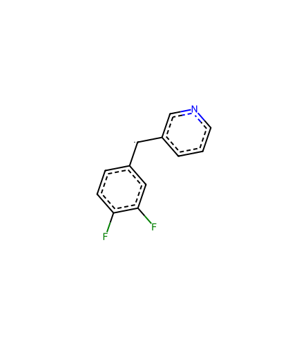 Fc1ccc([CH]c2cccnc2)cc1F